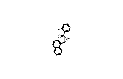 Cc1ccccc1C(=O)N(C)Cc1cccc2ccccc12